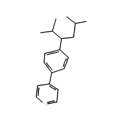 CC(C)CC(c1ccc(-c2ccncc2)cc1)C(C)C